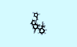 Fc1cc2ccn(CC3CCCC3)c2cc1-c1ccccc1C(F)(F)F